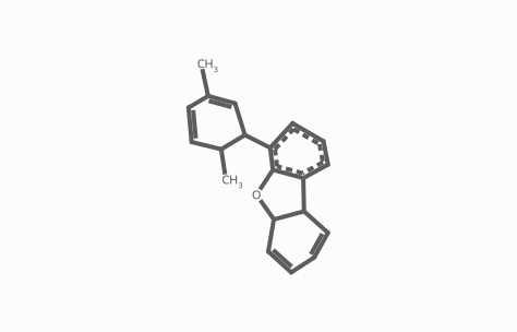 CC1=CC(c2cccc3c2OC2C=CC=CC32)C(C)C=C1